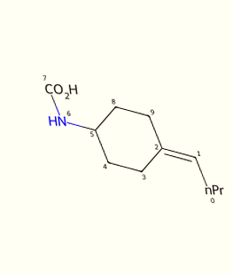 CCCC=C1CCC(NC(=O)O)CC1